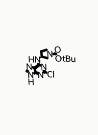 CC(C)(C)OC(=O)N1CC[C@H](Nc2nc(Cl)nc3[nH]cnc23)C1